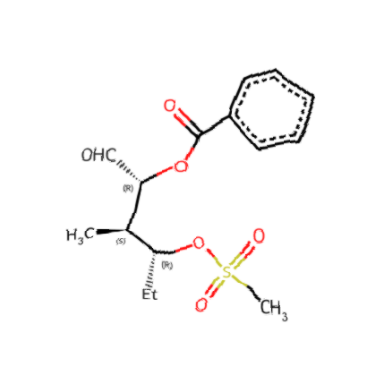 CC[C@@H](OS(C)(=O)=O)[C@@H](C)[C@H](C=O)OC(=O)c1ccccc1